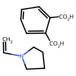 C=CN1CCCC1.O=C(O)c1ccccc1C(=O)O